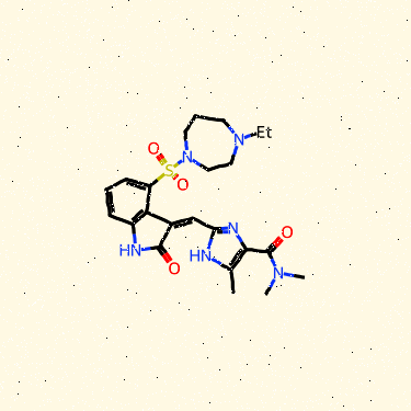 CCN1CCCN(S(=O)(=O)c2cccc3c2/C(=C/c2nc(C(=O)N(C)C)c(C)[nH]2)C(=O)N3)CC1